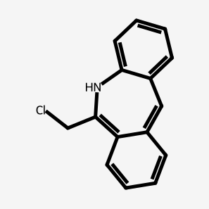 ClCC1=c2ccccc2=Cc2ccccc2N1